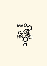 COc1ccccc1CN1C(=O)Nc2cc(Cl)cc(Cl)c2S1(=O)=O